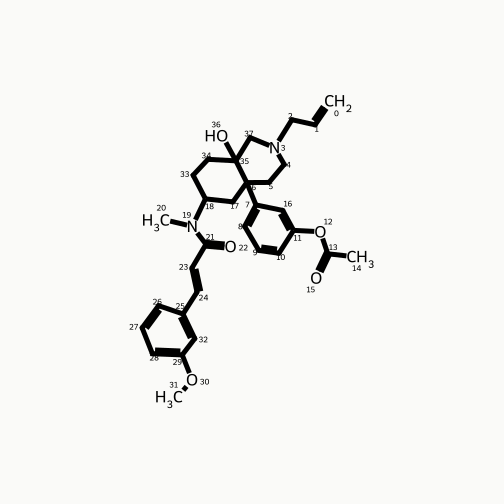 C=CCN1CCC2(c3cccc(OC(C)=O)c3)CC(N(C)C(=O)/C=C/c3cccc(OC)c3)CCC2(O)C1